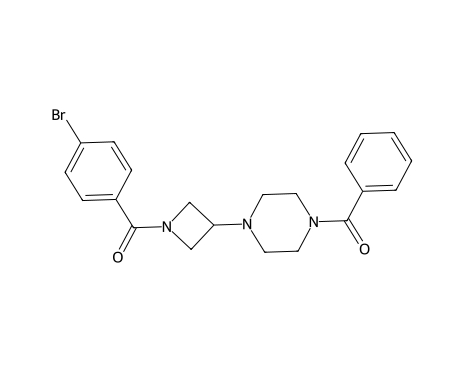 O=C(c1ccccc1)N1CCN(C2CN(C(=O)c3ccc(Br)cc3)C2)CC1